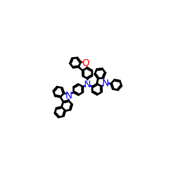 c1ccc(-n2c3ccccc3c3c(N(c4ccc(-n5c6ccccc6c6c7ccccc7ccc65)cc4)c4ccc5oc6ccccc6c5c4)cccc32)cc1